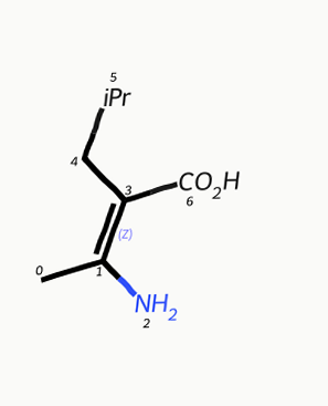 C/C(N)=C(\CC(C)C)C(=O)O